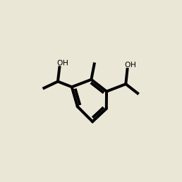 Cc1c(C(C)O)cccc1C(C)O